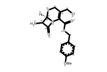 COc1ccc(COC(=O)C2=C(CCl)CS[C@@H]3C(N)C(=O)N23)cc1